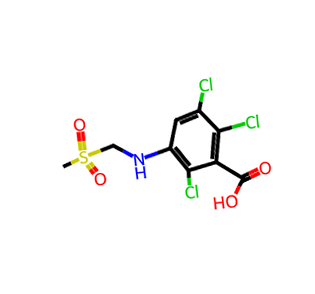 CS(=O)(=O)CNc1cc(Cl)c(Cl)c(C(=O)O)c1Cl